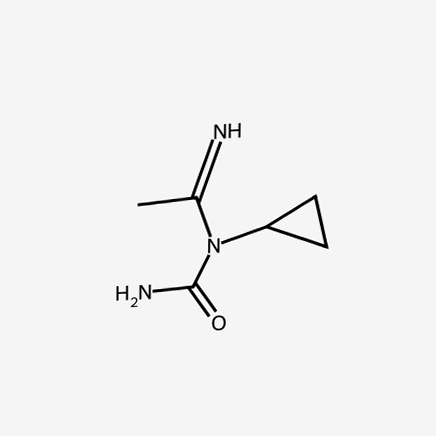 CC(=N)N(C(N)=O)C1CC1